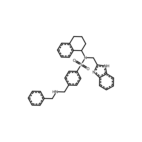 O=S(=O)(c1ccc(CNCc2ccccc2)cc1)N(Cc1nc2ccccc2[nH]1)C1CCCc2ccccc21